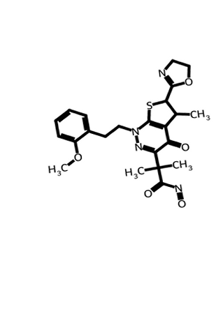 COc1ccccc1CCn1nc(C(C)(C)C(=O)N=O)c(=O)c2c1SC(C1=NCCO1)C2C